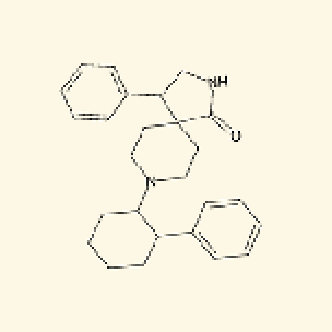 O=C1NCC(c2ccccc2)C12CCN(C1CCCCC1c1ccccc1)CC2